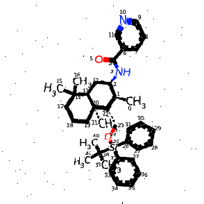 C[C@@H]1[C@H](NC(=O)c2cccnc2)CC2C(C)(C)CCC[C@]2(C)[C@H]1CO[Si](c1ccccc1)(c1ccccc1)C(C)(C)C